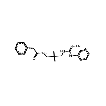 CC(C)(CNC(=O)Cc1ccccc1)CNC(=NC#N)Nc1cccnc1